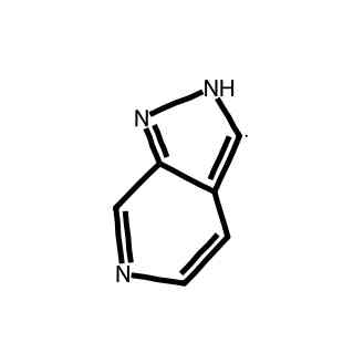 [c]1[nH]nc2cnccc12